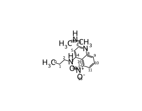 CCCNc1ccnc2cccc([N+](=O)[O-])c12.CNC